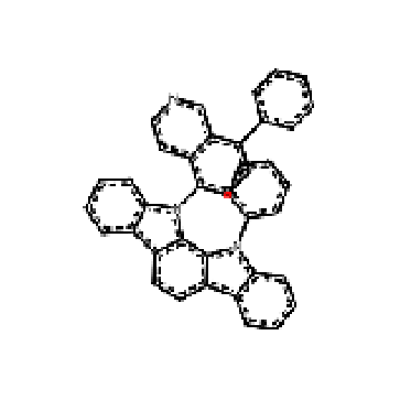 c1ccc(-c2ccc(-n3c4ccccc4c4ccc5c6ccccc6n(-c6ccccc6)c5c43)c3ccncc23)cc1